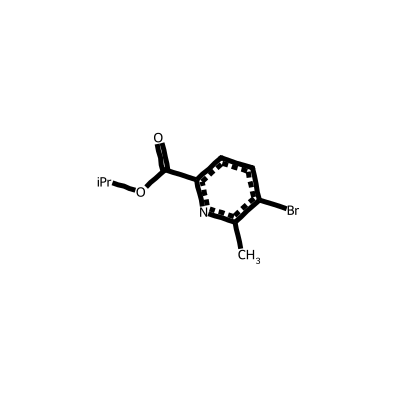 Cc1nc(C(=O)OC(C)C)ccc1Br